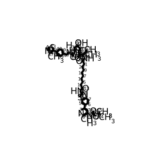 Cc1ncc(-c2ccc3nc(NC(=O)CCCCCCCCC(=O)N[C@H](C(=O)N4C[C@H](O)C[C@H]4C(=O)NCc4ccc(-c5scnc5C)cc4)C(C)(C)C)sc3c2)cc1NC(=O)OC(C)C